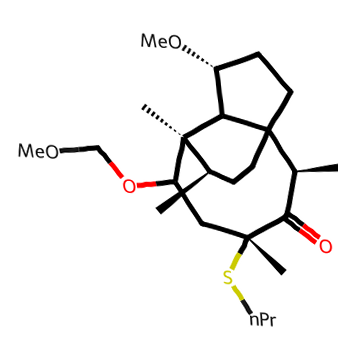 CCCS[C@]1(C)CC(OCOC)[C@@]2(C)C3[C@H](OC)CCC3(CC[C@H]2C)[C@@H](C)C1=O